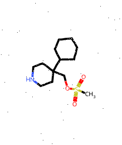 CS(=O)(=O)OCC1(C2CCCCC2)CCNCC1